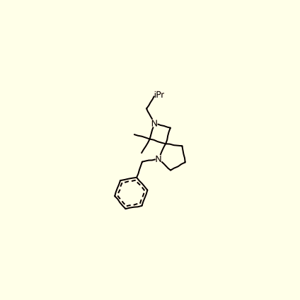 CC(C)CN1CC2(CCCN2Cc2ccccc2)C1(C)C